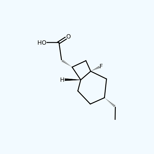 CC[C@@H]1CC[C@@H]2[C@H](CC(=O)O)C[C@@]2(F)C1